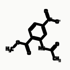 COC(=O)c1ccc([N+](=O)[O-])cc1NC(C)=O